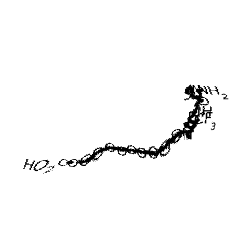 CN(CCOCCOCCOCCOCCOCCOCCOCCOCCOCCOCCC(=O)O)Cc1ccc(CNCCCC(=O)C2=Cc3sccc3N=C(N)C2)c(C(F)(F)F)c1